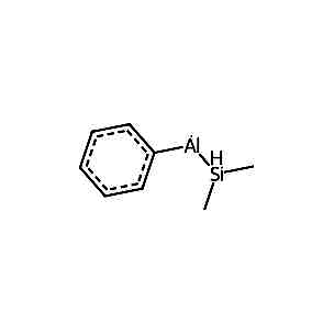 C[SiH](C)[Al][c]1ccccc1